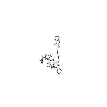 CN[C@@H](C)C(=O)N[C@H](C(=O)N1CCC[C@H]1C(=O)NC1c2ccccc2C[C@H]1OCC#CC#CCO[C@@H]1Cc2ccccc2[C@@H]1C)C(C)(C)C